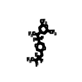 FC(C(F)(F)F)C(F)(F)CC1COC(C(F)(F)C(N2CC(C(F)(F)F)OC(C(F)(F)F)C2)C(F)(F)F)CO1